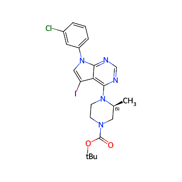 C[C@H]1CN(C(=O)OC(C)(C)C)CCN1c1ncnc2c1c(I)cn2-c1cccc(Cl)c1